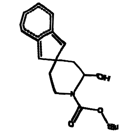 CC(C)(C)OC(=O)N1CCC2(C=c3ccccc3=C2)CC1O